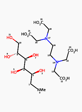 CNC[C@H](O)[C@@H](O)[C@H](O)[C@H](O)CO.O=C(O)CN(CCN(CC(=O)O)CC(=O)O)CC(=O)O